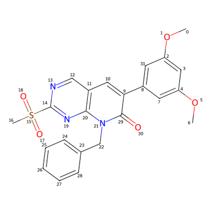 COc1cc(OC)cc(-c2cc3cnc(S(C)(=O)=O)nc3n(Cc3ccccc3)c2=O)c1